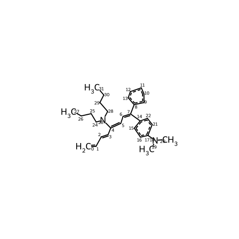 C=CC=CC(=CC=C(c1ccccc1)c1ccc(N(C)C)cc1)N(CCCC)CCCC